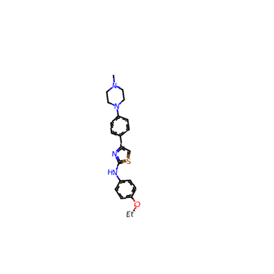 CCOc1ccc(Nc2nc(-c3ccc(N4CCN(C)CC4)cc3)cs2)cc1